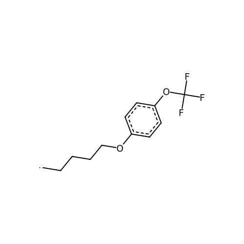 [CH2]CCCCOc1ccc(OC(F)(F)F)cc1